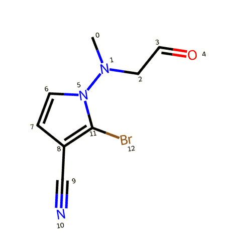 CN(CC=O)n1ccc(C#N)c1Br